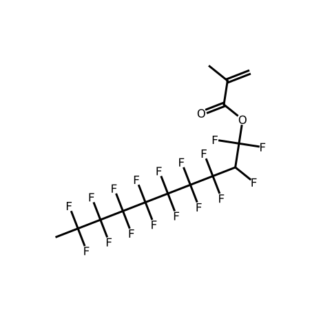 C=C(C)C(=O)OC(F)(F)C(F)C(F)(F)C(F)(F)C(F)(F)C(F)(F)C(F)(F)C(F)(F)C(C)(F)F